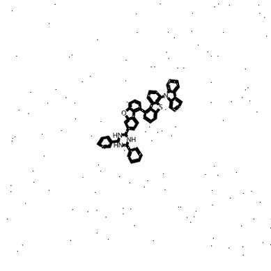 c1ccc(C2NC(c3ccccc3)NC(c3ccc4c(c3)oc3cccc(-c5cccc6sc7c(-n8c9ccccc9c9ccccc98)cccc7c56)c34)N2)cc1